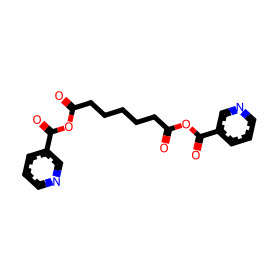 O=C(CCCCCC(=O)OC(=O)c1cccnc1)OC(=O)c1cccnc1